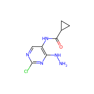 NNc1nc(Cl)ncc1NC(=O)C1CC1